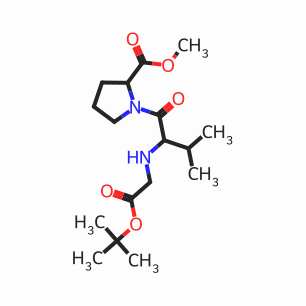 COC(=O)C1CCCN1C(=O)C(NCC(=O)OC(C)(C)C)C(C)C